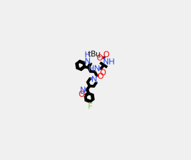 CC(C)(C)OC(=O)NC(C)(C)C(=O)NC(Cc1c[nH]c2ccccc12)C(=O)N1CCC(c2noc3cc(F)ccc23)CC1